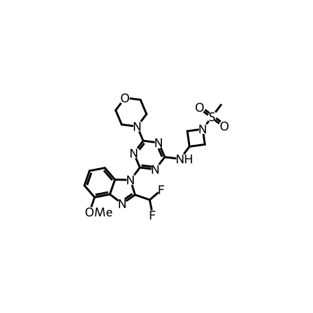 COc1cccc2c1nc(C(F)F)n2-c1nc(NC2CN(S(C)(=O)=O)C2)nc(N2CCOCC2)n1